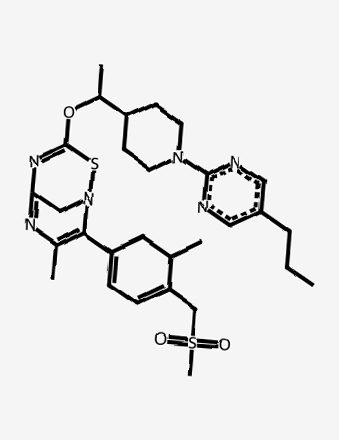 CCCc1cnc(N2CCC(C(C)OC3=NC4=NC(C)=C(C5=CC=C(CS(C)(=O)=O)C(C)C5)N(C4)S3)CC2)nc1